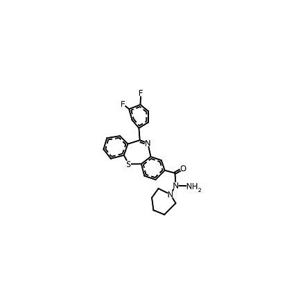 NN(C(=O)c1ccc2c(c1)N=C(c1ccc(F)c(F)c1)c1ccccc1S2)N1CCCCC1